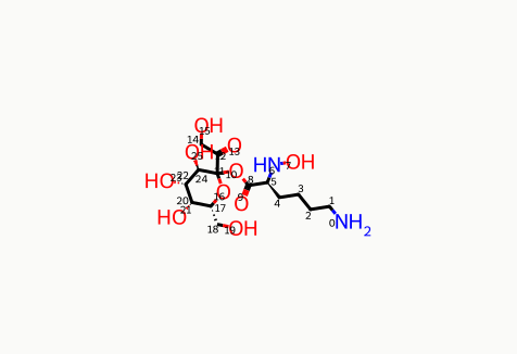 NCCCC[C@H](NO)C(=O)OC1(C(=O)CO)O[C@H](CO)[C@H](O)[C@H](O)[C@H]1O